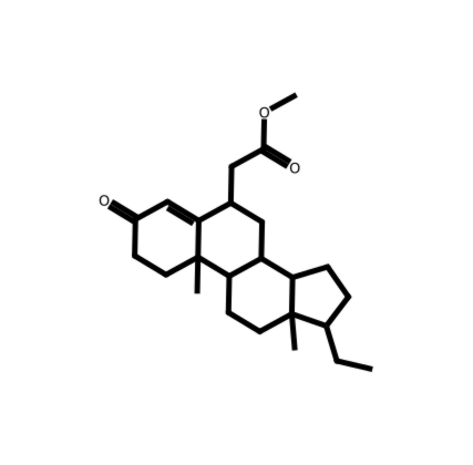 CCC1CCC2C3CC(CC(=O)OC)C4=CC(=O)CCC4(C)C3CCC12C